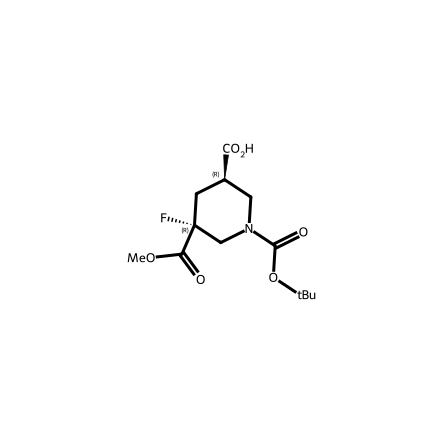 COC(=O)[C@@]1(F)C[C@@H](C(=O)O)CN(C(=O)OC(C)(C)C)C1